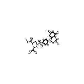 COC(=O)CCN(CCC(=O)OC)S(=O)(=O)c1ccc(C2CN(C)Cc3c(Cl)cc(Cl)cc32)cc1